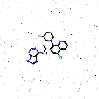 CC(Nc1ncnc2[nH]cnc12)c1cc(Cl)c2cccnc2c1N1CCCC(F)C1